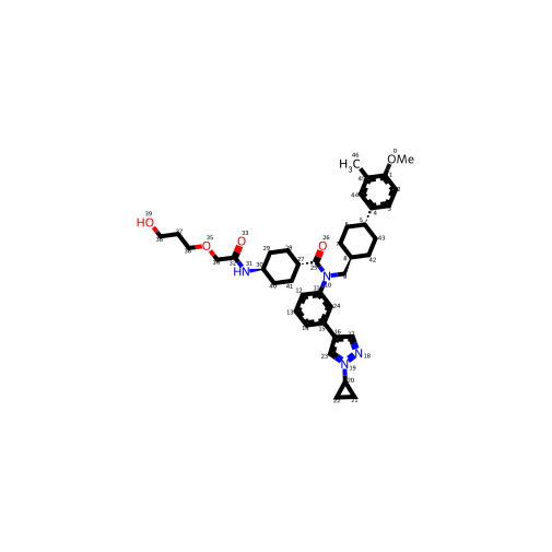 COc1ccc([C@H]2CC[C@H](CN(c3cccc(-c4cnn(C5CC5)c4)c3)C(=O)[C@H]3CC[C@H](NC(=O)COCCCO)CC3)CC2)cc1C